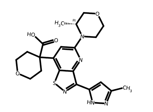 Cc1cc(-c2nsc3c(C4(C(=O)O)CCOCC4)cc(N4CCOC[C@H]4C)nc23)[nH]n1